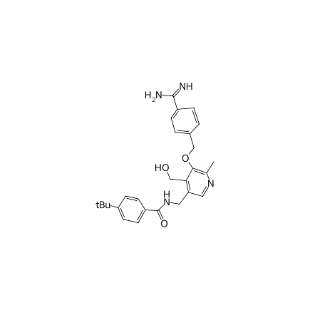 Cc1ncc(CNC(=O)c2ccc(C(C)(C)C)cc2)c(CO)c1OCc1ccc(C(=N)N)cc1